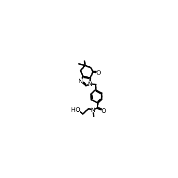 CN(CCO)C(=O)c1ccc(Cn2cnc3c2C(=O)CC(C)(C)C3)cc1